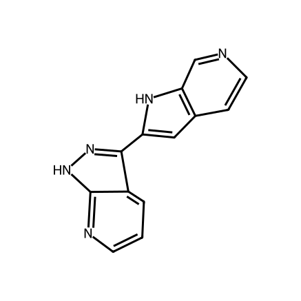 c1cnc2[nH]nc(-c3cc4ccncc4[nH]3)c2c1